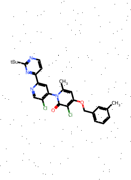 Cc1cccc(COc2cc(C)n(-c3cc(-c4ccnc(C(C)(C)C)n4)ncc3Cl)c(=O)c2Cl)c1